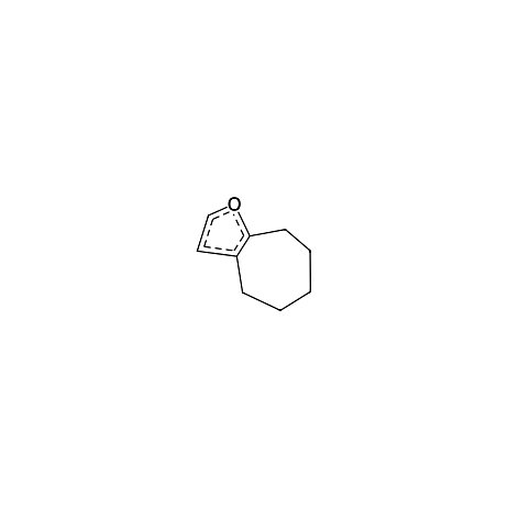 c1cc2c(o1)CCCCC2